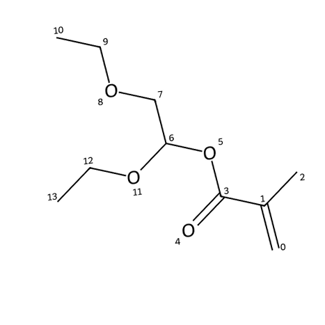 C=C(C)C(=O)OC(COCC)OCC